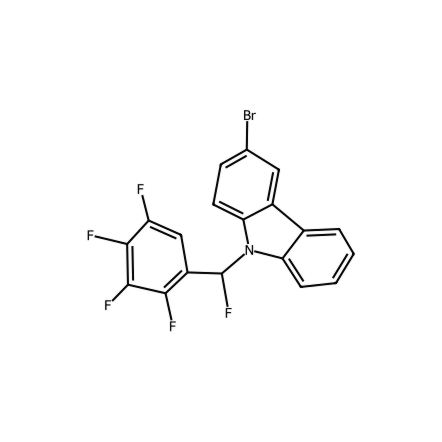 Fc1cc(C(F)n2c3ccccc3c3cc(Br)ccc32)c(F)c(F)c1F